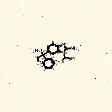 CCCCCCCCC(C(C)C)n1c(N)nc2ccc(C(O)(CC#N)c3ccccc3)cc21